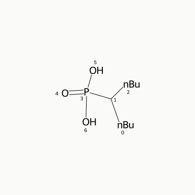 CCCCC(CCCC)P(=O)(O)O